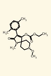 CCOC(=O)OC1=C(c2cc(C)ccc2C)C(=O)N(C)C12CCN(OC)CC2